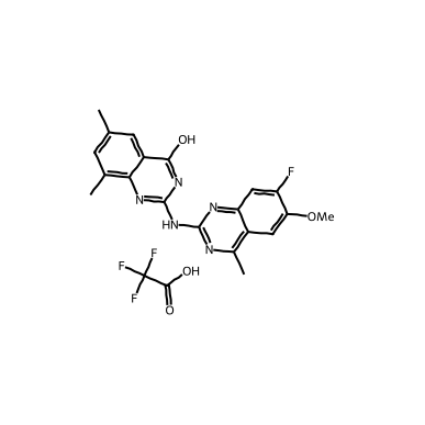 COc1cc2c(C)nc(Nc3nc(O)c4cc(C)cc(C)c4n3)nc2cc1F.O=C(O)C(F)(F)F